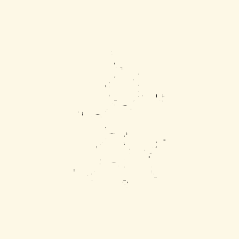 COc1cc(C(=O)c2cc(O)cc(F)c2)cc([N+](=O)[O-])c1O